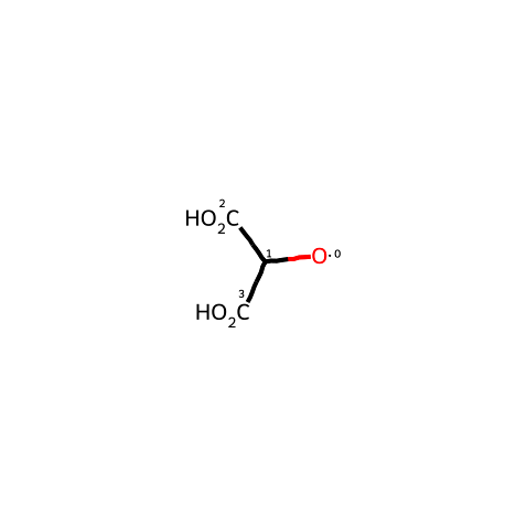 [O]C(C(=O)O)C(=O)O